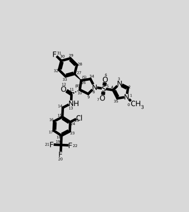 Cn1cnc(S(=O)(=O)N2C[C@H](C(=O)NCc3ccc(C(F)(F)F)cc3Cl)[C@@H](c3ccc(F)cc3)C2)c1